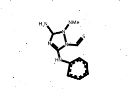 CNN1C(N)N=C(Nc2ccccc2)N1C=S